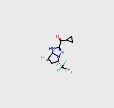 CC(F)(F)[C@@H]1C[C@H](F)C2NC(C(=O)C3CC3)=NN21